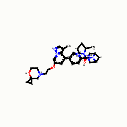 N#Cc1cnn2cc(OCCN3CCOC4(CC4)C3)cc(-c3ccc(N4CC5CC(C4)N5C(=O)N4CCCC4C#N)nc3)c12